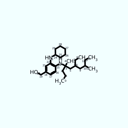 CCCC(C)(CC(CC)CC(C)CC)Nc1ccc(CO)cc1NC1CCCCC1